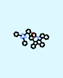 c1ccc(-c2nc(-c3ccccc3)nc(-c3cccc4oc5cc(C6c7ccccc7-c7c6c6c(c8ccccc78)c7c8ccccc8ccc7n6-c6ccccc6)ccc5c34)n2)cc1